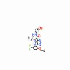 Cc1[nH]c2c(-c3cc(C(F)F)ccc3OCC3CC3)ncnc2c1C(=O)N[C@H]1CC[C@@H](O)C1